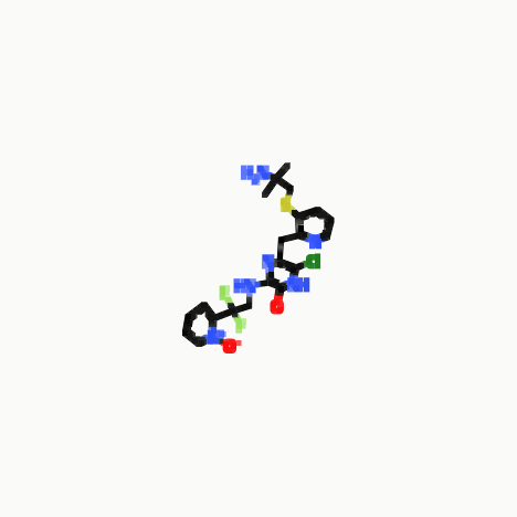 CC(C)(N)CSc1cccnc1Cc1nc(NCC(F)(F)c2cccc[n+]2[O-])c(=O)[nH]c1Cl